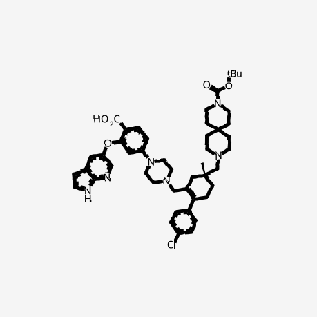 CC(C)(C)OC(=O)N1CCC2(CCN(C[C@]3(C)CCC(c4ccc(Cl)cc4)=C(CN4CCN(c5ccc(C(=O)O)c(Oc6cnc7[nH]ccc7c6)c5)CC4)C3)CC2)CC1